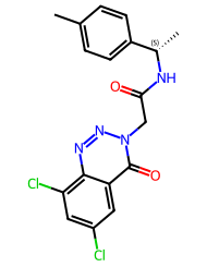 Cc1ccc([C@H](C)NC(=O)Cn2nnc3c(Cl)cc(Cl)cc3c2=O)cc1